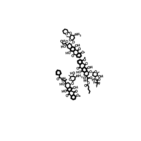 CCCCC(=O)OCC(=O)[C@]1(O)Cc2c(O)c3c(c(O)c2[C@@H](O[C@H]2C[C@H](NC(=O)C(F)(F)F)[C@H](O)[C@H](C)O2)C1)C(=O)c1c(OC)cccc1C3=O.COc1cccc2c1C(=O)c1c(O)c3c(c(O)c1C2=O)C[C@@](O)(/C(C)=N/NC(=O)c1ccccc1)C[C@@H]3O[C@H]1C[C@H](N)[C@H](O)[C@H](C)O1.COc1cccc2c1C(=O)c1c(O)c3c(c(O)c1C2=O)C[C@@](O)(C(=O)CO)C[C@@H]3O[C@H]1C[C@H](N)[C@H](O[C@@H]2CCCCO2)[C@H](C)O1